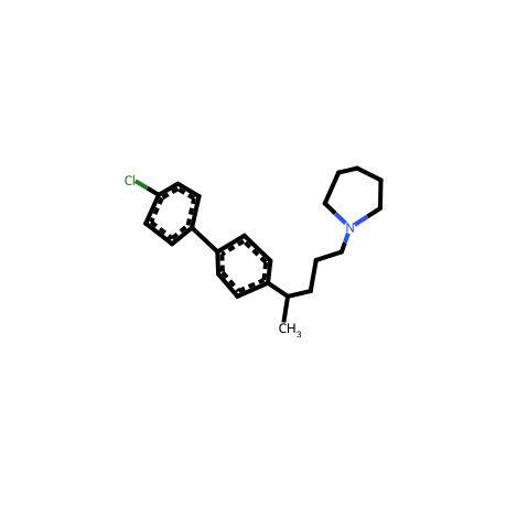 CC(CCCN1CCCCC1)c1ccc(-c2ccc(Cl)cc2)cc1